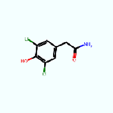 NC(=O)Cc1cc(Cl)c(O)c(Cl)c1